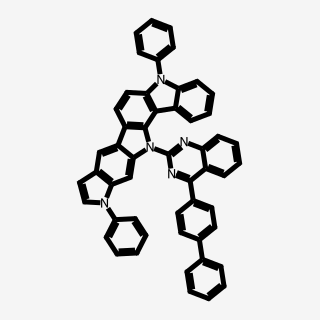 c1ccc(-c2ccc(-c3nc(-n4c5cc6c(ccn6-c6ccccc6)cc5c5ccc6c(c7ccccc7n6-c6ccccc6)c54)nc4ccccc34)cc2)cc1